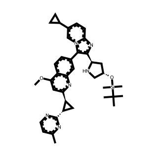 COc1cc([C@H]2C[C@@H]2c2nccc(C)n2)nc2cc(-c3c([C@H]4C[C@H](O[Si](C)(C)C(C)(C)C)CN4)nc4ccc(C5CC5)cn34)ccc12